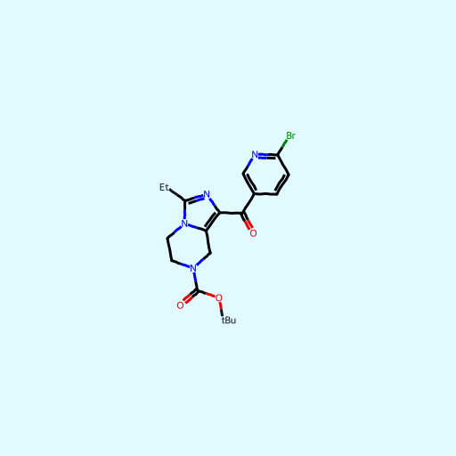 CCc1nc(C(=O)c2ccc(Br)nc2)c2n1CCN(C(=O)OC(C)(C)C)C2